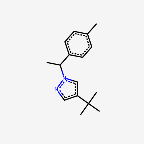 Cc1ccc(C(C)n2cc(C(C)(C)C)cn2)cc1